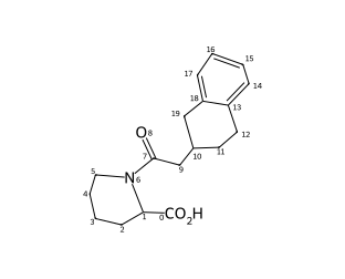 O=C(O)C1CCCCN1C(=O)CC1CCc2ccccc2C1